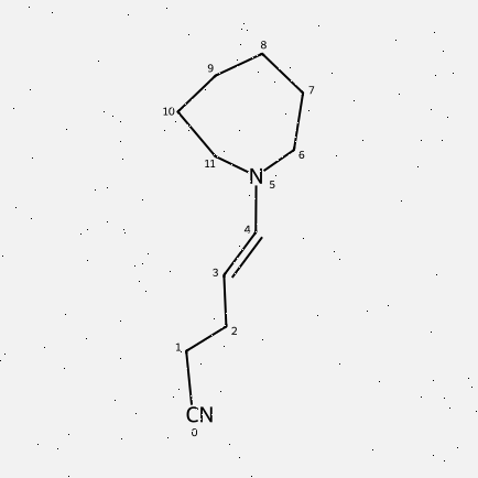 N#CCCC=CN1CCCCCC1